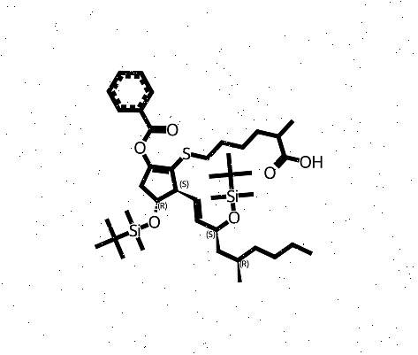 CCCC[C@@H](C)C[C@@H](C=C[C@@H]1C(SCCCCC(C)C(=O)O)=C(OC(=O)c2ccccc2)C[C@H]1O[Si](C)(C)C(C)(C)C)O[Si](C)(C)C(C)(C)C